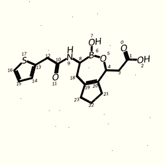 O=C(O)CC1OB(O)C(NC(=O)Cc2cccs2)CC2=C1CCC2